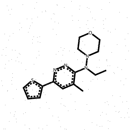 CCN(c1nnc(-c2cccs2)cc1C)N1CCOCC1